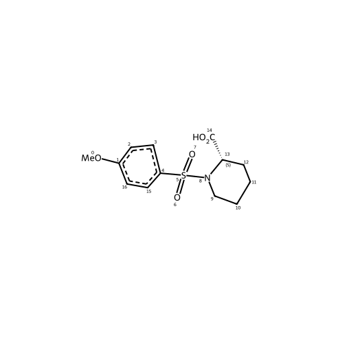 COc1ccc(S(=O)(=O)N2CCCC[C@H]2C(=O)O)cc1